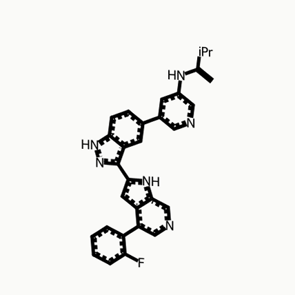 C=C(Nc1cncc(-c2ccc3[nH]nc(-c4cc5c(-c6ccccc6F)cncc5[nH]4)c3c2)c1)C(C)C